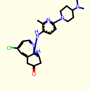 Cc1nc(N2CCC(N(C)C)CC2)ccc1NC1=NC=C2CC(=O)CC3=CC(Cl)=CC=NC23N1